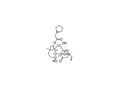 C=C[C@@]1(C)CC(=O)[C@]2(O)[C@@]3(C)[C@@H](O)CCC(C)(C)[C@@H]3[C@H](OC(=O)CN3CCCC3)[C@H](O)[C@@]2(C)O1